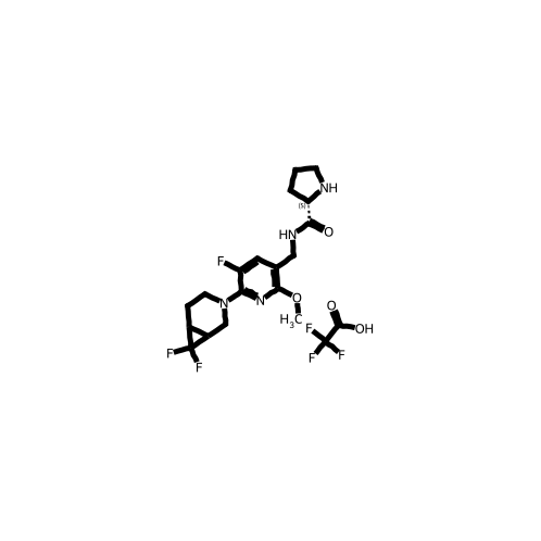 COc1nc(N2CCC3C(C2)C3(F)F)c(F)cc1CNC(=O)[C@@H]1CCCN1.O=C(O)C(F)(F)F